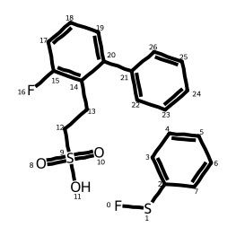 FSc1ccccc1.O=S(=O)(O)CCc1c(F)cccc1-c1ccccc1